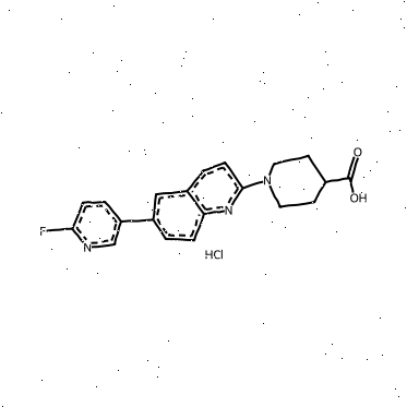 Cl.O=C(O)C1CCN(c2ccc3cc(-c4ccc(F)nc4)ccc3n2)CC1